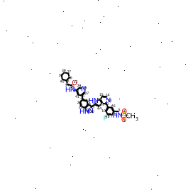 CS(=O)(=O)NCc1cc(F)cc(-c2nccc3[nH]c(-c4n[nH]c5ccc(-c6cncc(NC(=O)CC7CCCCC7)c6)cc45)cc23)c1